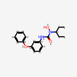 CCC(CC)N(O)C(=O)Nc1cccc(Oc2ccccc2)c1